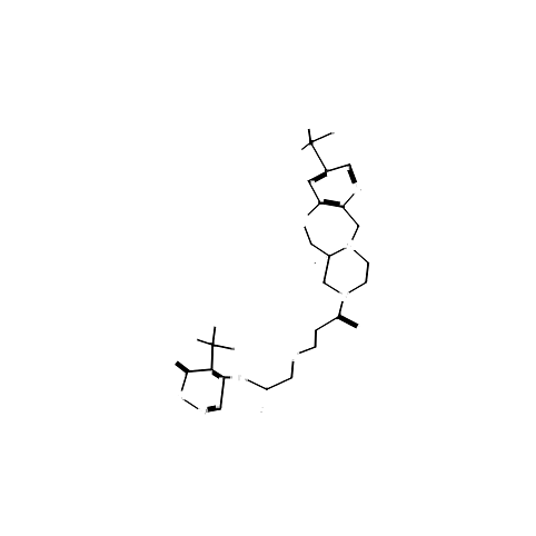 C[C@@H](COCCC(=O)N1CCN2Cc3ncc(C(F)(F)F)cc3OC[C@@H]2C1)Nc1cn[nH]c(=O)c1C(F)(F)F